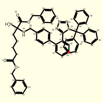 NC(CCCCC(=O)OCc1ccccc1)(NCc1ccc(-c2ccccc2-c2nnnn2C(c2ccccc2)(c2ccccc2)c2ccccc2)cc1)C(=O)OCc1ccccc1